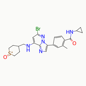 Cc1cc(-c2cnc3c(NCC4CC[S+]([O-])CC4)cc(Br)nn23)ccc1C(=O)NC1CC1